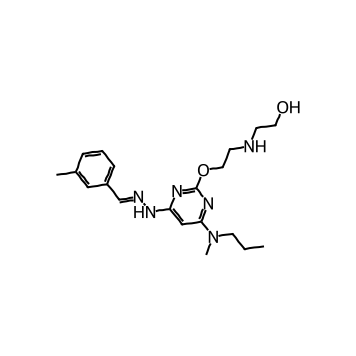 CCCN(C)c1cc(N/N=C/c2cccc(C)c2)nc(OCCNCCO)n1